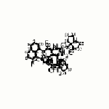 C#Cc1c(F)ccc2cccc(-c3nc4c5c(nc(OCC67CCCN6CCC7=C)nc5c3F)N3CC5CCC(C3C(C)O4)N5C(=O)O)c12